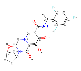 C[C@@H](NC(=O)c1cn2c(c(O)c1=O)C(=O)N1C3CCC(C3)OC1C2)c1c(F)cc(F)cc1F